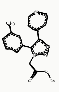 CC(C)(C)OC(=O)Cn1nnc(-c2ccncc2)c1-c1cccc(C=O)c1